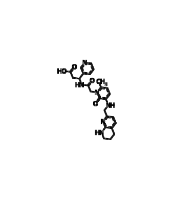 Cc1ccc(NCc2ccc3c(n2)NCCC3)c(=O)n1CC(=O)NC(CC(=O)O)c1cccnc1